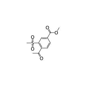 COC(=O)c1ccc(C(C)=O)c(S(C)(=O)=O)c1